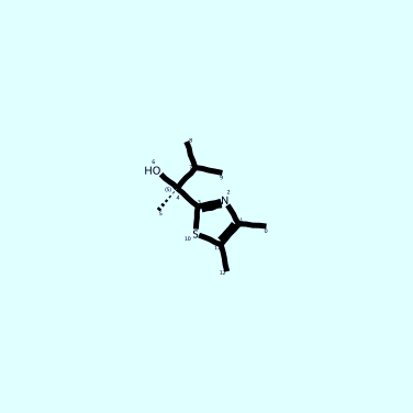 Cc1nc([C@@](C)(O)C(C)C)sc1C